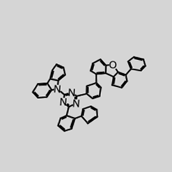 c1ccc(-c2ccccc2-c2nc(-c3cccc(-c4cccc5oc6c(-c7ccccc7)cccc6c45)c3)nc(-n3c4ccccc4c4ccccc43)n2)cc1